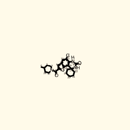 CC1CCN(C(=O)c2cc3cc(Cl)c4c(c3o2)C2(CCCCC2)NC(=O)N4)CC1